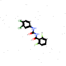 O=C(NC(=O)c1c(F)cccc1F)Nc1ccc(Cl)c(Cl)c1